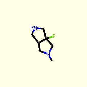 CN1[CH]C2CNCC2(F)C1